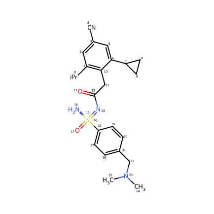 CC(C)c1cc(C#N)cc(C2CC2)c1CC(=O)N=[S@@](N)(=O)c1ccc(CN(C)C)cc1